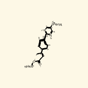 CCCCCCOC(=O)CC(C)c1ccc(-c2ncc(CCCCC)cn2)cc1